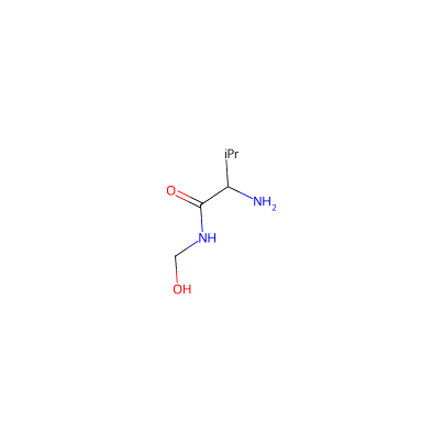 CC(C)C(N)C(=O)NCO